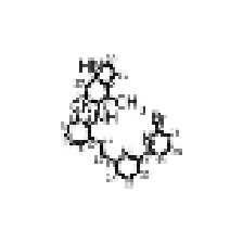 Cc1c(Nc2c(C#N)cncc2C=Cc2cccc(-c3cccc(Br)n3)n2)ccc2[nH]ccc12